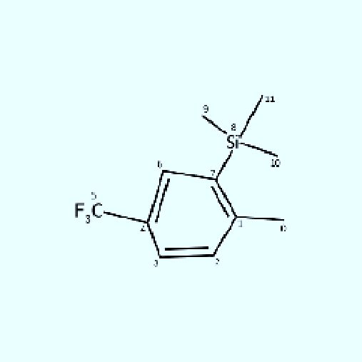 Cc1ccc(C(F)(F)F)cc1[Si](C)(C)C